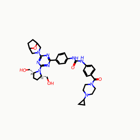 O=C(Nc1ccc(C(=O)N2CCN(C3CC3)CC2)cc1)Nc1ccc(-c2nc(N3CC4CCC(C3)O4)nc(N3[C@H](CO)CC[C@@H]3CO)n2)cc1